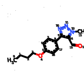 CCCCOc1ccc(-c2nnn(C)c2C=O)cc1